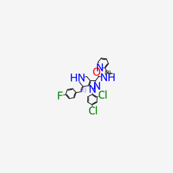 C[C@@H](NC(=O)c1nn(-c2ccc(Cl)cc2Cl)c2c1CNC/C2=C\c1ccc(F)cc1)c1ccccn1